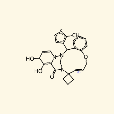 Cc1sccc1C1c2ccccc2OC/C=C/C2(CCC2)N2CN1N1C=CC(O)C(O)=C1C2=O